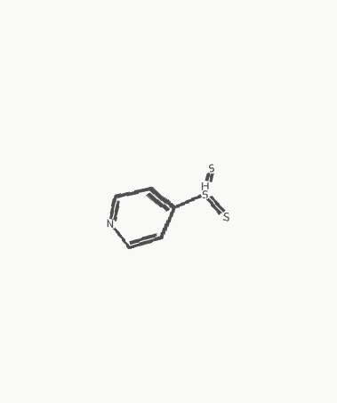 S=[SH](=S)c1ccncc1